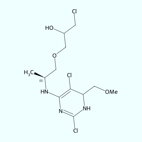 COCC1NC(Cl)=NC(N[C@@H](C)COCC(O)CCl)=C1Cl